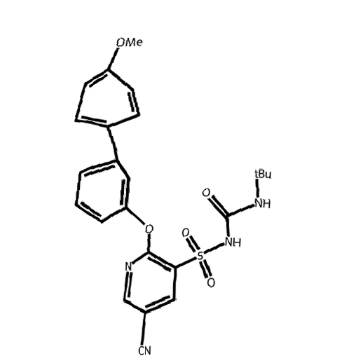 COc1ccc(-c2cccc(Oc3ncc(C#N)cc3S(=O)(=O)NC(=O)NC(C)(C)C)c2)cc1